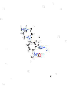 C=[N+]([O-])c1ccc(N2CCNCC2)cc1N